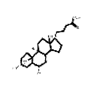 CC[C@H]1CC2C3CC[C@H](CCCC(=O)OC)C3(C)CC[C@@H]2C2(C)CC[C@@H](O)CC12